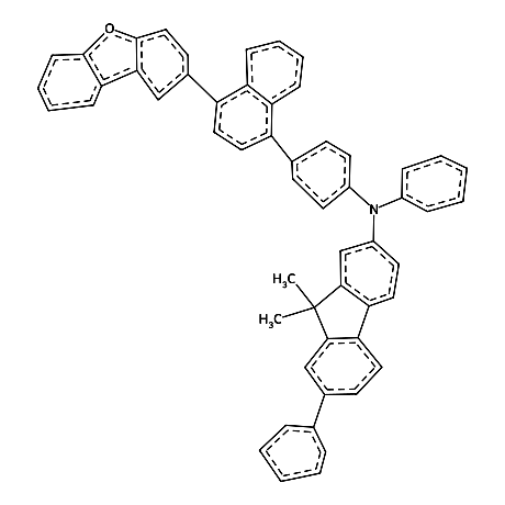 CC1(C)c2cc(-c3ccccc3)ccc2-c2ccc(N(c3ccccc3)c3ccc(-c4ccc(-c5ccc6oc7ccccc7c6c5)c5ccccc45)cc3)cc21